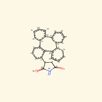 O=C1CC(c2cccc3c2-c2ccccc2-c2ccccc2-c2ccccc2-3)C(=O)N1